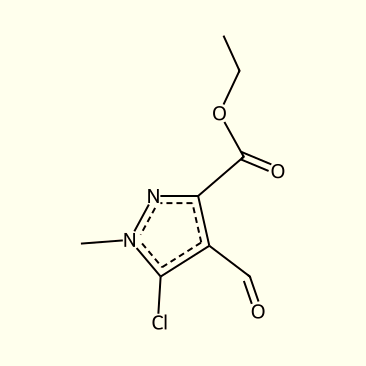 CCOC(=O)c1nn(C)c(Cl)c1C=O